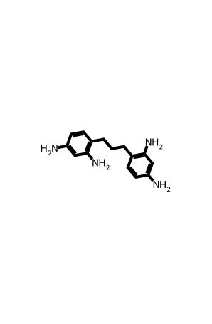 Nc1ccc(CCCc2ccc(N)cc2N)c(N)c1